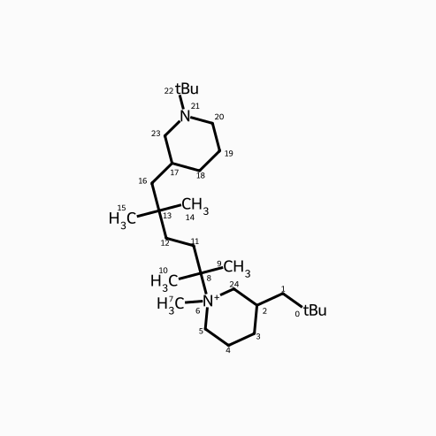 CC(C)(C)CC1CCC[N+](C)(C(C)(C)CCC(C)(C)CC2CCCN(C(C)(C)C)C2)C1